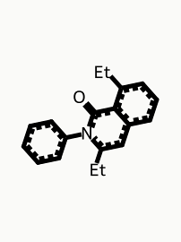 CCc1cccc2cc(CC)n(-c3ccccc3)c(=O)c12